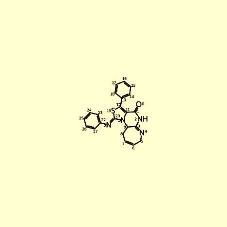 O=C1NC2=NCC=CCC2n2c1c(-c1ccccc1)s/c2=N\c1ccccc1